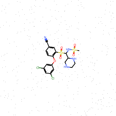 CS(=O)(=O)NC(C1CNCCN1)S(=O)(=O)c1cc(C#N)ccc1Oc1cc(Cl)cc(Cl)c1